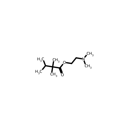 CC(C)C(C)(C)C(=O)OCCN(C)C